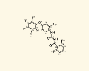 Cc1c(F)c(F)c(Oc2ccc(NC(=O)NC(=O)c3c(F)cccc3F)c(F)c2)c(F)c1Cl